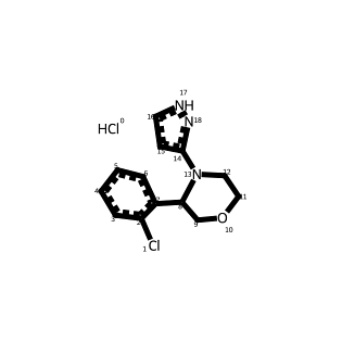 Cl.Clc1ccccc1C1COCCN1c1cc[nH]n1